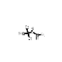 CCNPC(O)(CC)CC